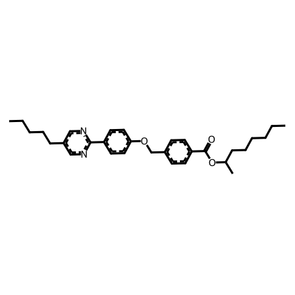 CCCCCCC(C)OC(=O)c1ccc(COc2ccc(-c3ncc(CCCCC)cn3)cc2)cc1